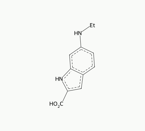 CCNc1ccc2cc(C(=O)O)[nH]c2c1